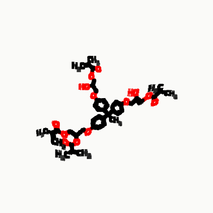 C=C(C)C(=O)OCC(O)COc1ccc(C(C)(c2ccc(OCC(O)COC(=O)C(=C)C)cc2)c2ccc(OCC(COC(=O)C(=C)C)OC(=O)C(=C)C)cc2)cc1